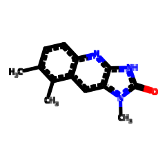 Cc1ccc2nc3[nH]c(=O)n(C)c3cc2c1C